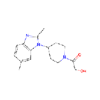 Cc1ccc2nc(C)n(C3CCN(C(=O)CO)CC3)c2c1